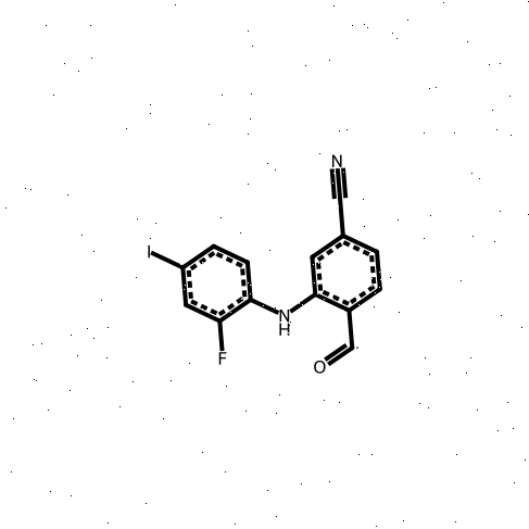 N#Cc1ccc([C]=O)c(Nc2ccc(I)cc2F)c1